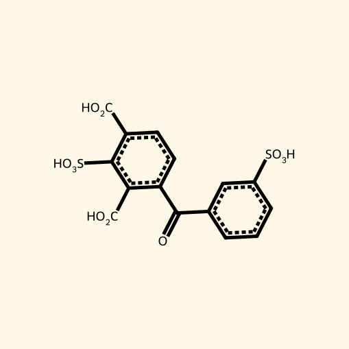 O=C(c1cccc(S(=O)(=O)O)c1)c1ccc(C(=O)O)c(S(=O)(=O)O)c1C(=O)O